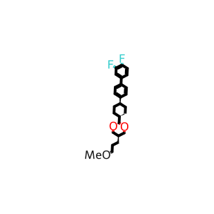 COCCC[C@H]1CO[C@H]([C@H]2CC[C@H](c3ccc(-c4ccc(F)c(F)c4)cc3)CC2)OC1